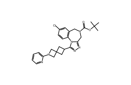 CC(C)(C)OC(=O)N1Cc2cc(Cl)ccc2-n2c(nnc2C2CC3(C2)CN(c2ccccn2)C3)C1